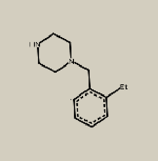 CCc1ccc[c]c1CN1CCNCC1